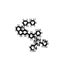 c1ccc(-c2cccc(-n3c4cccc5ccc6cc(-c7ccc8c(c7)c7ccccc7n8-c7nc(-c8ccccn8)nc(-c8ccccn8)n7)cc3c6c54)c2)cc1